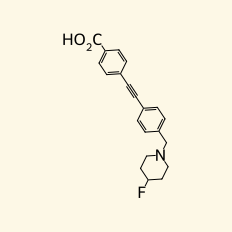 O=C(O)c1ccc(C#Cc2ccc(CN3CCC(F)CC3)cc2)cc1